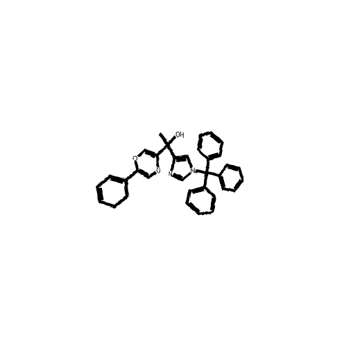 CC(O)(C1=COC(C2=CC=CCC2)=CO1)c1cn(C(c2ccccc2)(c2ccccc2)c2ccccc2)cn1